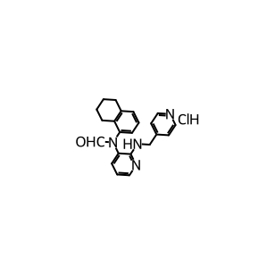 Cl.O=CN(c1cccnc1NCc1ccncc1)c1cccc2c1CCCC2